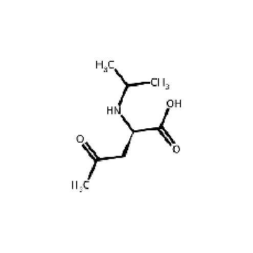 CC(=O)C[C@@H](NC(C)C)C(=O)O